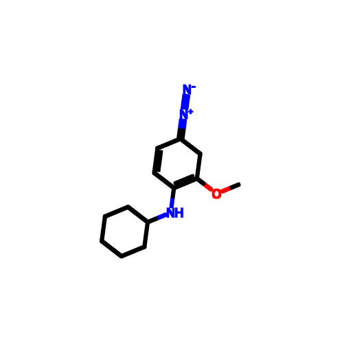 COC1=C(NC2CCCCC2)C=CC(=[N+]=[N-])C1